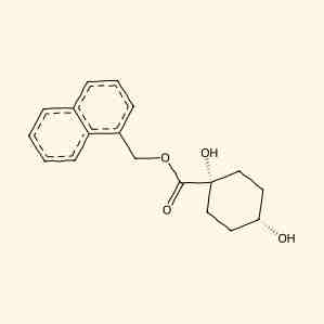 O=C(OCc1cccc2ccccc12)[C@]1(O)CC[C@@H](O)CC1